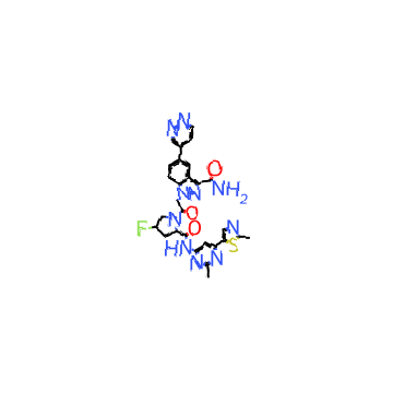 Cc1nc(NC(=O)C2CC(F)CN2C(=O)Cn2nc(C(N)=O)c3cc(-c4ccnnc4)ccc32)cc(-c2cnc(C)s2)n1